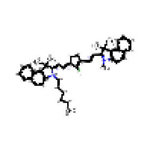 CCCC[N+]1=C(/C=C/C2=C(Cl)C(=C/C=C3\N(CCCCCC=O)c4ccc5ccccc5c4C3(C)C)/CC2)C(C)(C)c2c1ccc1ccccc21